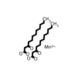 CCCCCCCCCC(=O)CC(=O)[O-].CCCCCCCCCC(=O)CC(=O)[O-].[Mn+2]